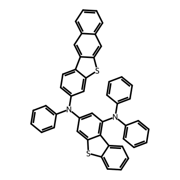 c1ccc(N(c2ccc3c(c2)sc2cc4ccccc4cc23)c2cc(N(c3ccccc3)c3ccccc3)c3c(c2)sc2ccccc23)cc1